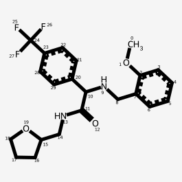 COc1ccccc1CNC(C(=O)NCC1CCCO1)c1ccc(C(F)(F)F)cc1